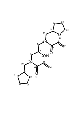 C=CC(=O)N(CC(O)CN(CC1CCCO1)C(=O)C=C)CC1CCCO1